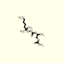 CCCCCC(C)(C)OOC(=O)OC(C)COC(C)=O